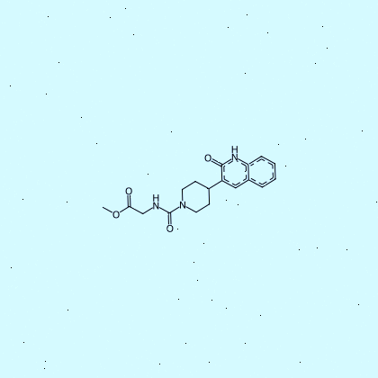 COC(=O)CNC(=O)N1CCC(c2cc3ccccc3[nH]c2=O)CC1